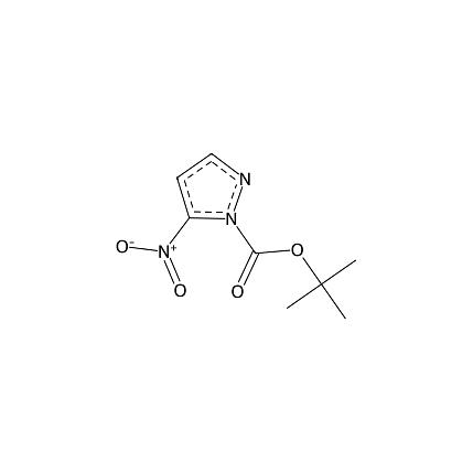 CC(C)(C)OC(=O)n1nccc1[N+](=O)[O-]